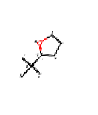 CC(C)(C)[C@@H]1CCCO1